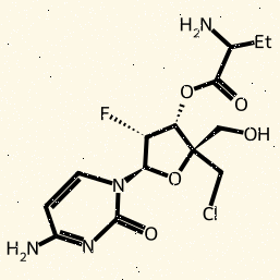 CCC(N)C(=O)O[C@H]1[C@@H](F)[C@H](n2ccc(N)nc2=O)O[C@@]1(CO)CCl